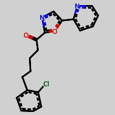 O=C(CCCCc1ccccc1Cl)c1ncc(-c2ccccn2)o1